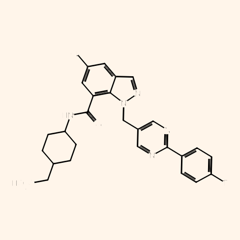 O=C(O)CC1CCC(NC(=O)c2cc(Cl)cc3cnn(Cc4cnc(-c5ccc(F)cc5)nc4)c23)CC1